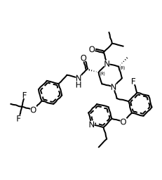 CCc1ncccc1Oc1cccc(F)c1CN1C[C@@H](C)N(C(=O)C(C)C)[C@@H](C(=O)NCc2ccc(OC(C)(F)F)cc2)C1